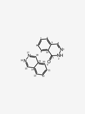 O=c1[nH]ncc2ccccc12.c1ccc2cnncc2c1